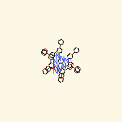 c1ccc(-c2ccc3c(c2)c2cc(-c4ccccc4)ccc2n3-c2nc(-n3c4ccc(-c5ccccc5)cc4c4cc(-c5ccccc5)ccc43)c(-n3c4ccc(-c5ccccc5)cc4c4cc(-c5ccccc5)ccc43)c(-c3nc(-c4ccccc4)nc(-c4ccccc4)n3)c2-n2c3ccc(-c4ccccc4)cc3c3cc(-c4ccccc4)ccc32)cc1